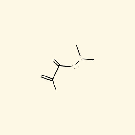 C=C(C)C(=O)NN(C)C